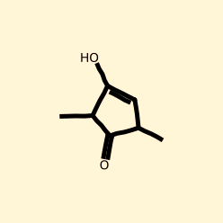 CC1C=C(O)C(C)C1=O